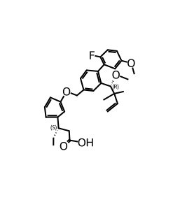 C=CC(C)(C)[C@@H](OC)c1cc(COc2cccc([C@@H](CC)CC(=O)O)c2)ccc1-c1cc(OC)ccc1F